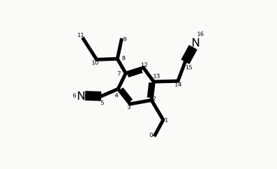 CCc1cc(C#N)c(C(C)CC)cc1CC#N